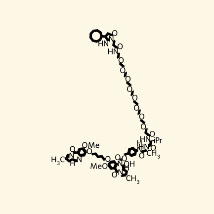 COc1cc2c(cc1OCCCCCOc1cc3c(cc1OC)C(=O)N1C=C(C)C[C@H]1[C@H](O)N3C(=O)OCc1ccc(NC(=O)[C@H](C)NC(=O)[C@@H](NC(=O)CCOCCOCCOCCOCCOCCOCCOCCOCCNC(=O)CCN3C(=N)C(C4CCCCCCCC4)CC3=O)C(C)C)cc1)N=C[C@@H]1CC(C)=CN1C2=O